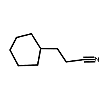 N#CCCC1CC[CH]CC1